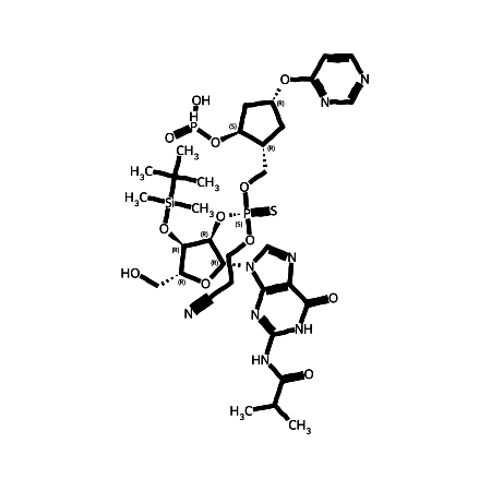 CC(C)C(=O)Nc1nc2c(ncn2[C@@H]2O[C@H](CO)[C@@H](O[Si](C)(C)C(C)(C)C)[C@H]2O[P@](=S)(OCCC#N)OC[C@H]2C[C@@H](Oc3ccncn3)C[C@@H]2O[PH](=O)O)c(=O)[nH]1